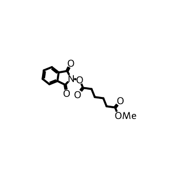 COC(=O)CCCCC(=O)ON1C(=O)c2ccccc2C1=O